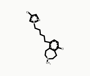 CN1CCc2c(Cl)ccc(CCCCCn3cc(Cl)cn3)c2CC1